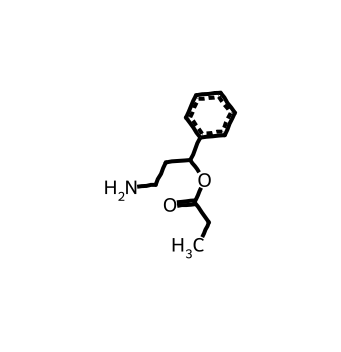 CCC(=O)OC(CCN)c1ccccc1